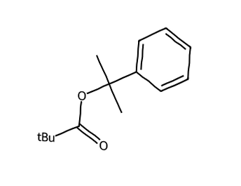 CC(C)(C)C(=O)OC(C)(C)c1ccccc1